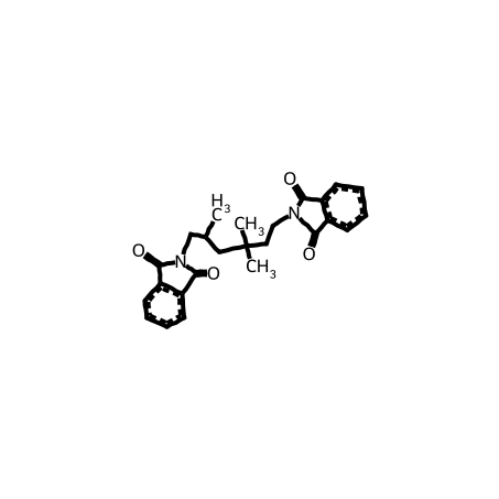 CC(CN1C(=O)c2ccccc2C1=O)CC(C)(C)CCN1C(=O)c2ccccc2C1=O